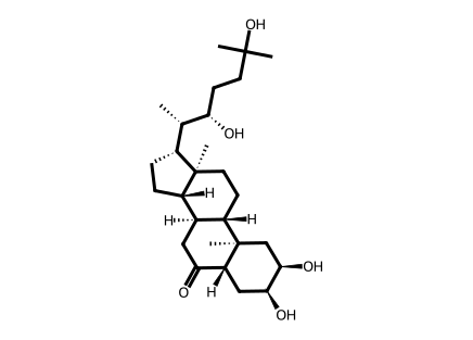 C[C@@H]([C@H]1CC[C@H]2[C@@H]3CC(=O)[C@H]4C[C@H](O)[C@H](O)C[C@]4(C)[C@H]3CC[C@]12C)[C@@H](O)CCC(C)(C)O